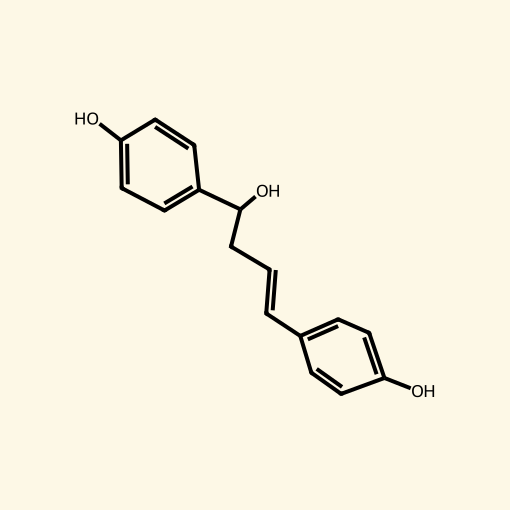 Oc1ccc(C=CCC(O)c2ccc(O)cc2)cc1